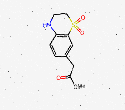 COC(=O)Cc1ccc2c(c1)S(=O)(=O)CCN2